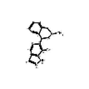 CN1Cc2ccccc2C(c2ccc3cn[nH]c3c2F)C1